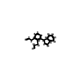 C=CCc1cccc(C2C=Cc3ccccc32)c1CC=C